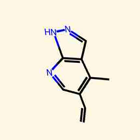 C=Cc1cnc2[nH]ncc2c1C